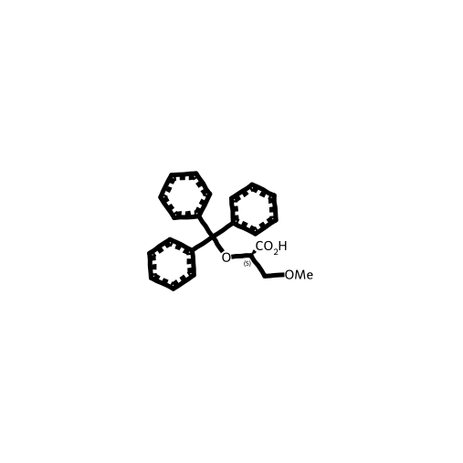 COC[C@H](OC(c1ccccc1)(c1ccccc1)c1ccccc1)C(=O)O